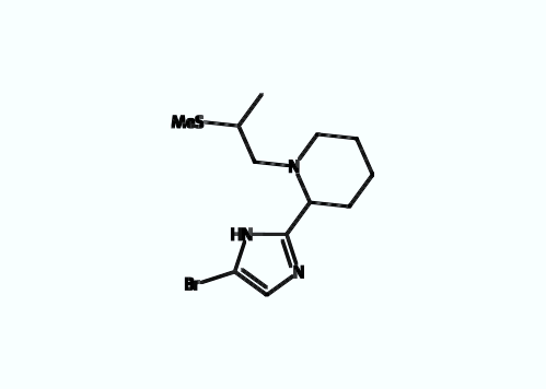 CSC(C)CN1CCCCC1c1ncc(Br)[nH]1